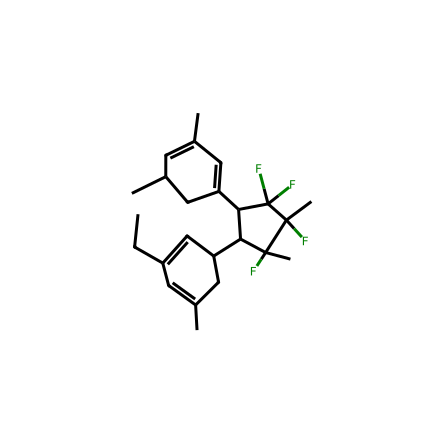 CCC1=CC(C2C(C3=CC(C)=CC(C)C3)C(F)(F)C(C)(F)C2(C)F)CC(C)=C1